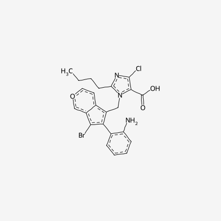 CCCCc1nc(Cl)c(C(=O)O)n1Cc1c2ccocc-2c(Br)c1-c1ccccc1N